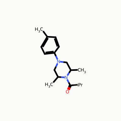 Cc1ccc(N2CC(C)N(C(=O)C(C)C)C(C)C2)cc1